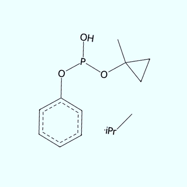 CC1(OP(O)Oc2ccccc2)CC1.C[C](C)C